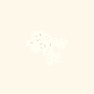 CC(C)N[C@@](Cc1ccc(OC(=O)OCC(C)(C)C)c(OC(=O)OCC(C)(C)C)c1)(OC(=O)C1CCCCC1)C(=O)O